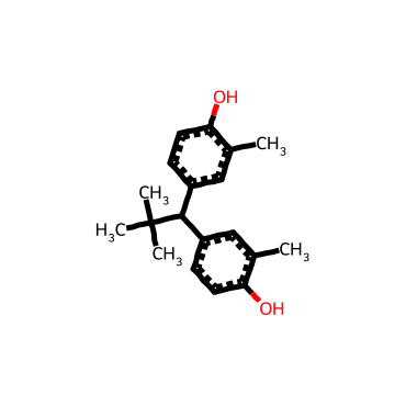 Cc1cc(C(c2ccc(O)c(C)c2)C(C)(C)C)ccc1O